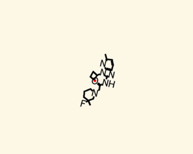 Cc1ccc2nc(NC(=O)CN3CCCC(C)(F)C3)n(C3CCC3)c2n1